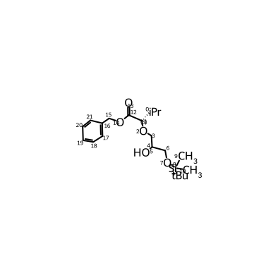 CC(C)[C@H](OCC(O)CO[Si](C)(C)C(C)(C)C)C(=O)OCc1ccccc1